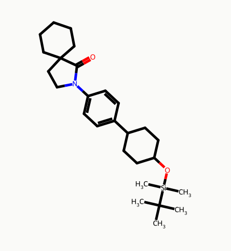 CC(C)(C)[Si](C)(C)OC1CCC(c2ccc(N3CCC4(CCCCC4)C3=O)cc2)CC1